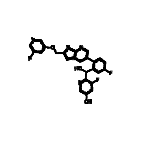 Oc1cnc(C(O)c2cc(F)ccc2-c2cnc3nc(COc4cncc(F)c4)cn3c2)c(F)c1